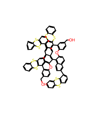 OCc1ccc(Oc2ccc3cc(-c4cccc5c4Sc4ccccc4S5)ccc3c2-c2c(Oc3ccc(CO)cc3-c3cccc4c3Sc3ccccc3S4)ccc3cc(-c4cccc5c4Sc4ccccc4S5)ccc23)c(-c2cccc3c2Sc2ccccc2S3)c1